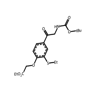 CCOC(=O)COc1ccc(C(=O)CNC(=O)OC(C)(C)C)cc1SCC